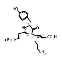 CCCCC/C=C/C(=O)N[C@@H](Cc1ccc(O)cc1)C(=O)N[C@H](/C=C/C(=O)O)CCCN